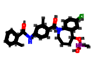 Cc1ccccc1C(=O)Nc1ccc(C(=O)N2CCCC(O[PH](C)=O)c3cc(Cl)ccc32)c(C)c1